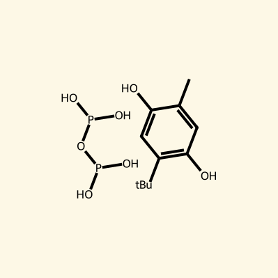 Cc1cc(O)c(C(C)(C)C)cc1O.OP(O)OP(O)O